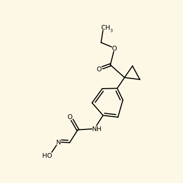 CCOC(=O)C1(c2ccc(NC(=O)/C=N/O)cc2)CC1